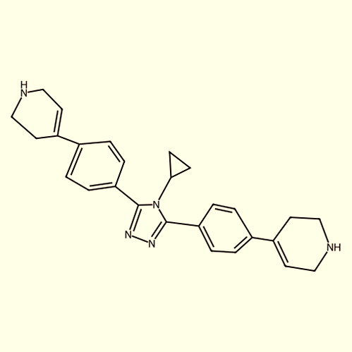 C1=C(c2ccc(-c3nnc(-c4ccc(C5=CCNCC5)cc4)n3C3CC3)cc2)CCNC1